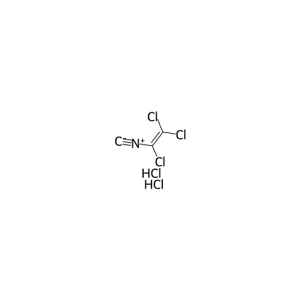 Cl.Cl.[C-]#[N+]C(Cl)=C(Cl)Cl